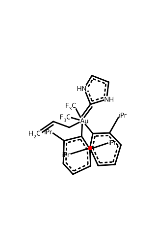 C=C[CH2][Au]([c]1c(C(C)C)cccc1C(C)C)([c]1c(C(C)C)cccc1C(C)C)(=[c]1[nH]cc[nH]1)([C](F)(F)F)[C](F)(F)F